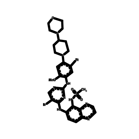 CCc1cc(Nc2ncc(Br)c(Nc3ccc4nccnc4c3NS(C)(=O)=O)n2)c(OC)cc1N1CCC(N2CCOCC2)CC1